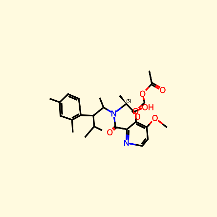 COc1ccnc(C(=O)N(C(C)C(c2ccc(C)cc2C)C(C)C)[C@@H](C)C(=O)O)c1OCOC(C)=O